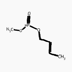 CC=CCO[PH](=O)OC